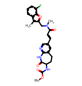 Cc1c(CN(C)C(=O)/C=C/c2cnc3c(c2)CCC(NC(=O)OC(C)(C)C)C(=O)N3)oc2c(F)cccc12